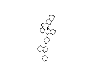 c1ccc(-c2ccc(-c3ccc(N4c5ccccc5B5c6cc7ccccc7cc6Oc6cccc4c65)cc3)c3ccccc23)cc1